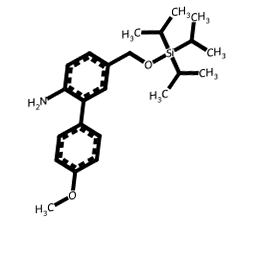 COc1ccc(-c2cc(CO[Si](C(C)C)(C(C)C)C(C)C)ccc2N)cc1